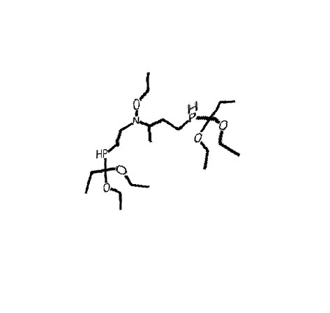 CCON(CCPC(CC)(OCC)OCC)C(C)CCPC(CC)(OCC)OCC